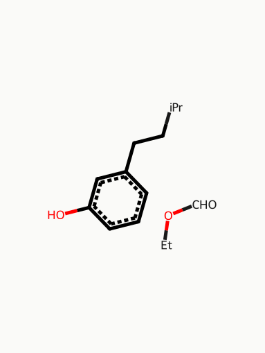 CC(C)CCc1cccc(O)c1.CCOC=O